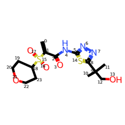 C=C(C(=O)Nc1nnc(C(C)(C)CO)s1)S(=O)(=O)C1CCOCC1